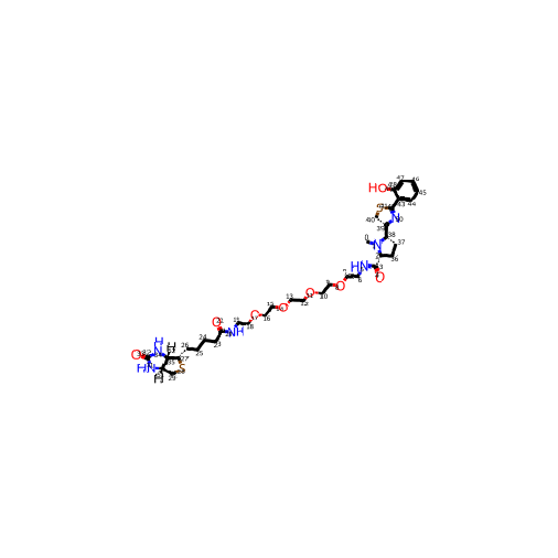 CN1[C@@H](C(=O)NCCOCCOCCOCCOCCNC(=O)CCCC[C@@H]2SC[C@@H]3NC(=O)N[C@@H]32)CC[C@H]1[C@@H]1CSC(c2ccccc2O)=N1